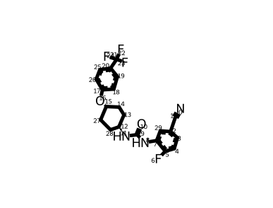 N#Cc1ccc(F)c(NC(=O)N[C@H]2CC[C@H](Oc3ccc(C(F)(F)F)cc3)CC2)c1